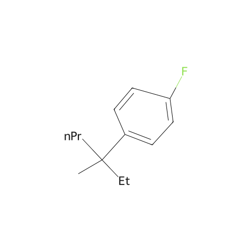 CCCC(C)(CC)c1ccc(F)cc1